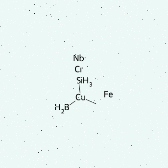 [BH2][Cu]([CH3])[SiH3].[Cr].[Fe].[Nb]